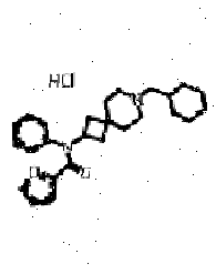 Cl.O=C(c1ccco1)N(c1ccccc1)C1CC2(CCN(CC3CCCCC3)CC2)C1